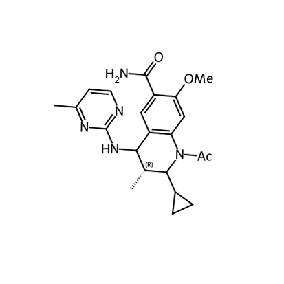 COc1cc2c(cc1C(N)=O)C(Nc1nccc(C)n1)[C@@H](C)C(C1CC1)N2C(C)=O